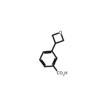 O=C(O)c1cccc(C2COC2)c1